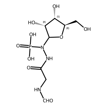 O=CNCC(=O)NN(C1O[C@H](CO)[C@@H](O)[C@H]1O)P(=O)(O)O